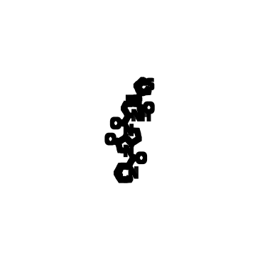 CC(C)CC(NC(=O)Oc1ccsc1)C(=O)N1CCC2C1C(=O)CN2C(=O)c1ccccn1